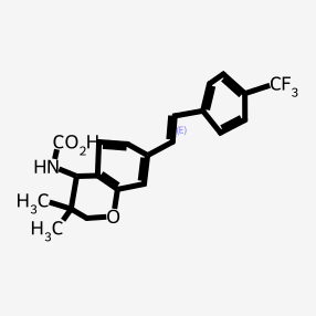 CC1(C)COc2cc(/C=C/c3ccc(C(F)(F)F)cc3)ccc2C1NC(=O)O